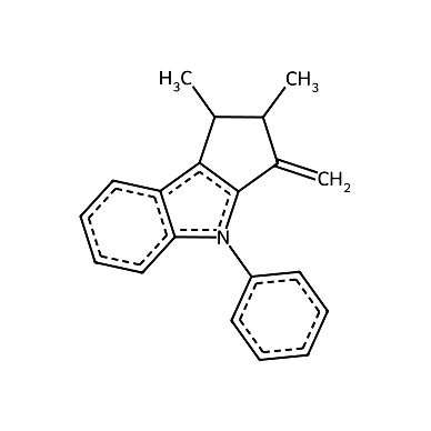 C=C1c2c(c3ccccc3n2-c2ccccc2)C(C)C1C